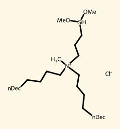 CCCCCCCCCCCCCC[N+](C)(CCCCCCCCCCCCCC)CCC[SiH](OC)OC.[Cl-]